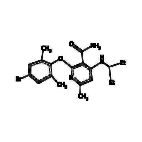 CCC(CC)Nc1cc(C)nc(Oc2c(C)cc(Br)cc2C)c1C(N)=O